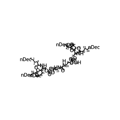 CCCCCCCCCCCCCC(=O)N[C@@H](COP(=O)(O)OCCNC(=O)NCCOP(=O)(O)OC[C@H](NC(=O)CCCCCCCCCCCCC)C(CCCCCCCCCCC)OC(=O)CCCCCCCCCCC)C(CCCCCCCCCCC)OC(=O)CCCCCCCCCCC